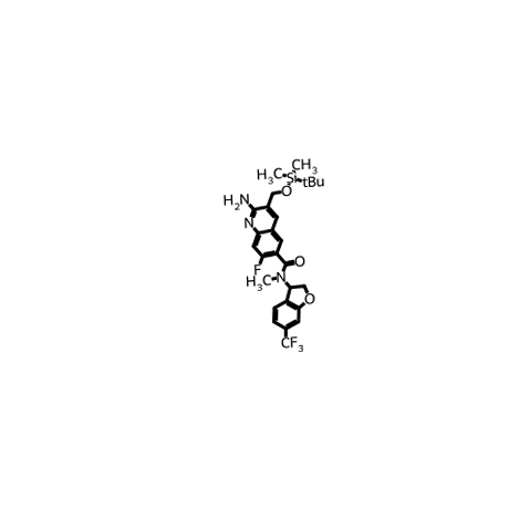 CN(C(=O)c1cc2cc(CO[Si](C)(C)C(C)(C)C)c(N)nc2cc1F)C1COc2cc(C(F)(F)F)ccc21